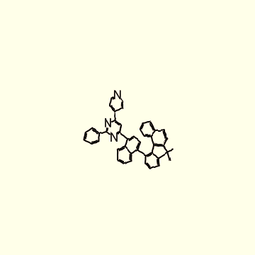 CC1(C)c2cccc(-c3ccc(-c4cc(-c5ccncc5)nc(-c5ccccc5)n4)c4ccccc34)c2-c2c1ccc1ccccc21